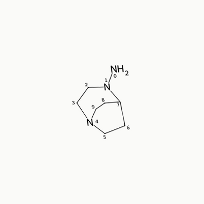 NN1CCN2CCC1CC2